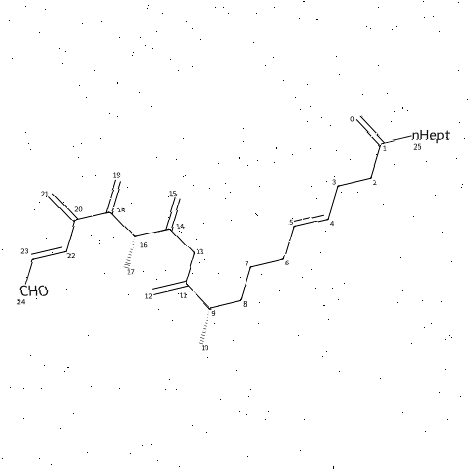 C=C(CC/C=C/CCC[C@H](C)C(=C)CC(=C)[C@H](C)C(=C)C(=C)/C=C/C=O)CCCCCCC